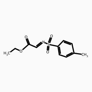 CCOC(=O)C=NS(=O)(=O)c1ccc(C)cc1